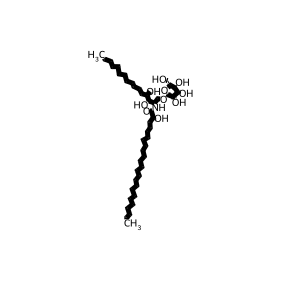 CCCCCCCCCCCCCCCCCCCCCC[C@@H](O)C(=O)NC(CO[C@H]1O[C@H](CO)[C@H](O)[C@H](O)[C@H]1O)C(O)C(O)CCCCCCCCCCCC